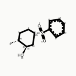 C[C@@H]1CC[C@H](S(=O)(=O)c2ccccc2)C[C@H]1O